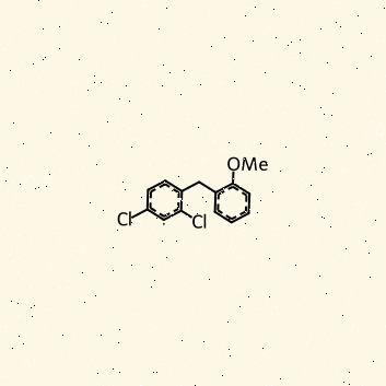 COc1ccccc1Cc1ccc(Cl)[c]c1Cl